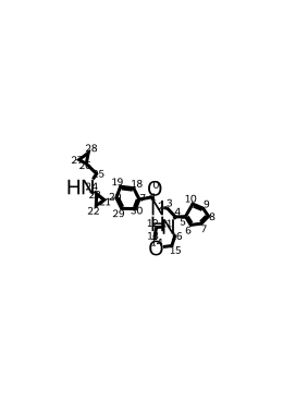 O=C(NCC(c1ccccc1)N1CCOCC1)c1ccc([C@@H]2C[C@H]2NCC2CC2)cc1